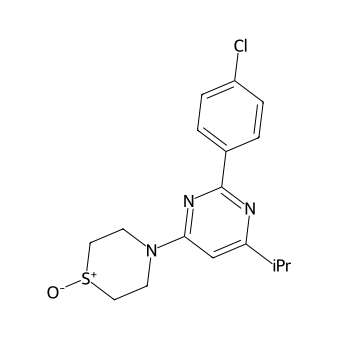 CC(C)c1cc(N2CC[S+]([O-])CC2)nc(-c2ccc(Cl)cc2)n1